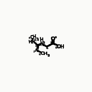 C/N=C(/NC)NCC(=O)O